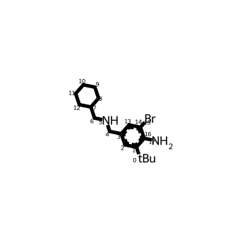 CC(C)(C)c1cc(CNCC2CCCCC2)cc(Br)c1N